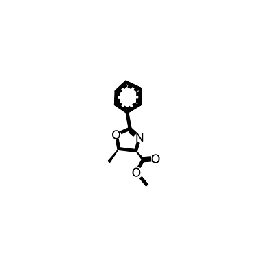 COC(=O)[C@@H]1N=C(c2ccccc2)O[C@@H]1C